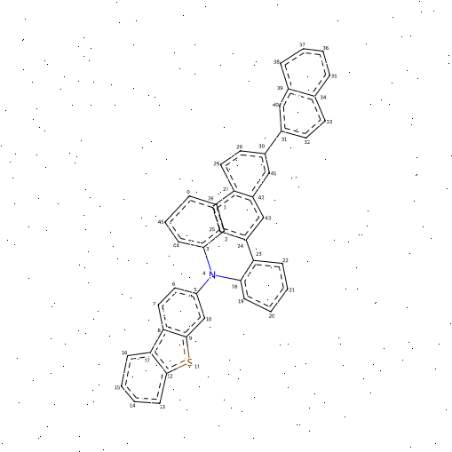 c1ccc(N(c2ccc3c(c2)sc2ccccc23)c2ccccc2-c2ccc3ccc(-c4ccc5ccccc5c4)cc3c2)cc1